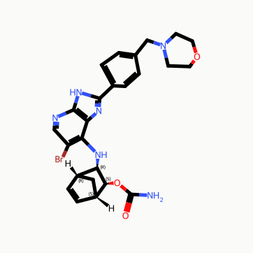 NC(=O)O[C@@H]1[C@H](Nc2c(Br)cnc3[nH]c(-c4ccc(CN5CCOCC5)cc4)nc23)[C@H]2C=C[C@@H]1C2